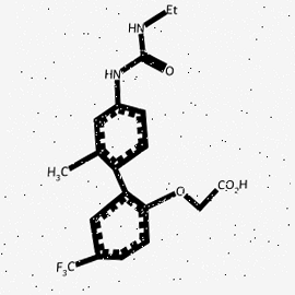 CCNC(=O)Nc1ccc(-c2cc(C(F)(F)F)ccc2OCC(=O)O)c(C)c1